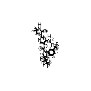 CC1(C)CN(c2ncc(OC(=O)N(CC(F)(F)C(F)(F)C(F)(F)F)c3cccc(C(F)(F)F)c3)c(N)n2)C(=O)N1